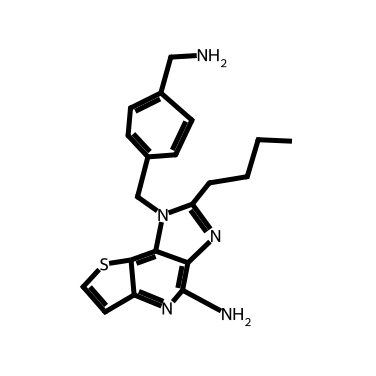 CCCCc1nc2c(N)nc3ccsc3c2n1Cc1ccc(CN)cc1